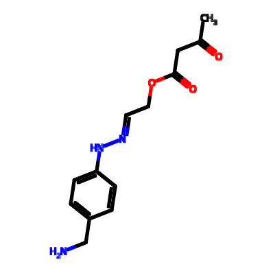 CC(=O)CC(=O)OCC=NNc1ccc(CN)cc1